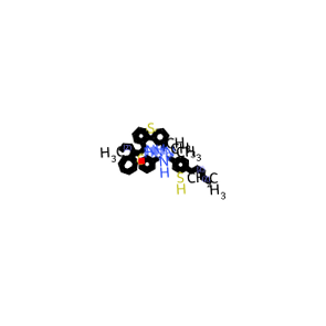 C=C(/C=C\C=C/C)c1cc(C)c(C2NC(c3ccccc3)NC(C3(C)CCC4Sc5cccc(C(N)c6sc7c(c6/C=C\C)C=CCC=C7)c5C4C3)N2C)cc1S